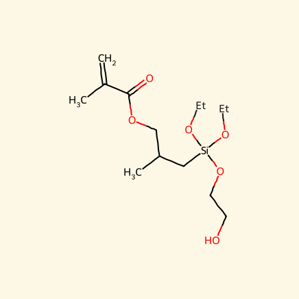 C=C(C)C(=O)OCC(C)C[Si](OCC)(OCC)OCCO